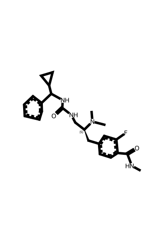 CNC(=O)c1ccc(C[C@@H](CNC(=O)NC(c2ccccc2)C2CC2)N(C)C)cc1F